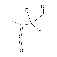 CC(=C=O)C(F)(F)C=O